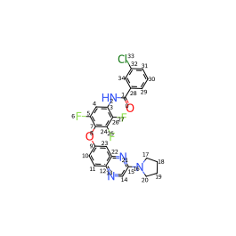 O=C(Nc1cc(F)c(Oc2ccc3ncc(N4CCCC4)nc3c2)c(F)c1F)c1cccc(Cl)c1